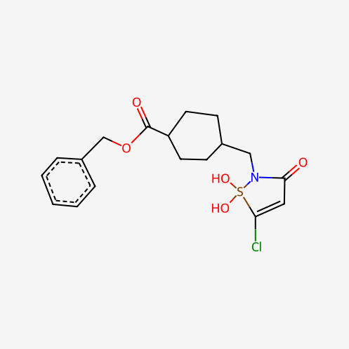 O=C(OCc1ccccc1)C1CCC(CN2C(=O)C=C(Cl)S2(O)O)CC1